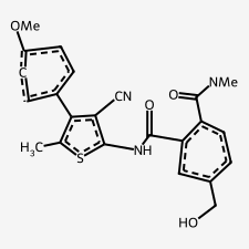 CNC(=O)c1ccc(CO)cc1C(=O)Nc1sc(C)c(-c2ccc(OC)cc2)c1C#N